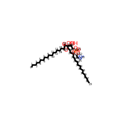 CCCCCCCCCCCCCCCCCC(=O)C(O)(C(=O)CCCCCCCCCCCCCCCCC)[C@@H](O)COP(=O)([O-])OCC[N+](C)(C)C